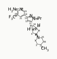 CC1CCN([C@H]2C[C@@H]3[C@H](C2)[C@H]3c2cc(-c3cnc(N)c(C(F)(F)F)c3)nn2C(C)C)CC1